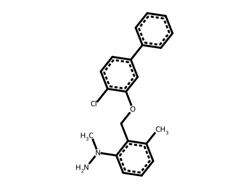 Cc1cccc(N(C)N)c1COc1cc(-c2ccccc2)ccc1Cl